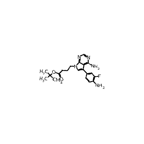 CC(C)(C)OC(=O)CCCn1cc(-c2ccc(N)c(F)c2)c2c(N)ncnc21